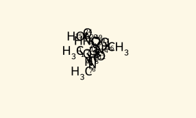 CCOc1nn(CC)cc1S(=O)(=O)N1CC(C)Oc2ccc(NC(=O)O)cc21